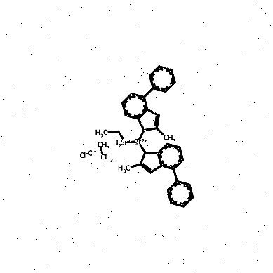 CC.CC[SiH2][Zr+2]([CH]1C(C)=Cc2c(-c3ccccc3)cccc21)[CH]1C(C)=Cc2c(-c3ccccc3)cccc21.[Cl-].[Cl-]